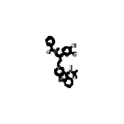 CC(=O)Nc1c2c(nc3c1CN(CCC(CN(C)C(=O)c1ccccc1)c1ccc(Cl)c(Cl)c1)CC3)CCCC2